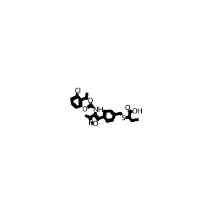 CCC(SCc1ccc(-c2onc(C)c2NC(=O)OC(C)c2ccccc2Cl)cc1)C(=O)O